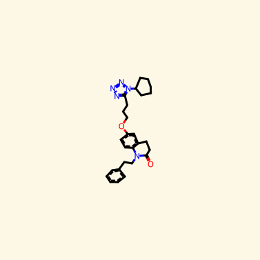 O=C1CCc2cc(OCCCc3nnnn3C3CCCCC3)ccc2N1CCc1ccccc1